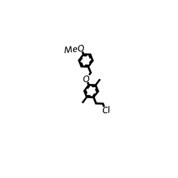 COc1ccc(COc2cc(C)c(CCCl)cc2C)cc1